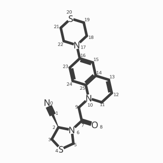 N#C[C@@H]1CSCN1C(=O)CN1CC=Cc2cc(N3CCSCC3)ccc21